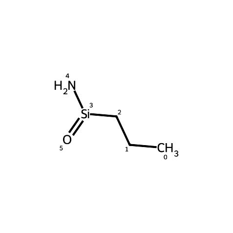 CCC[Si](N)=O